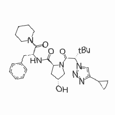 CC(C)(C)[C@@H](C(=O)N1C[C@H](O)C[C@H]1C(=O)NC(Cc1ccccc1)C(=O)N1CCCCC1)n1cc(C2CC2)nn1